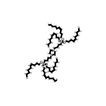 CCCCC/C=C\CCCO[Si](CCCCN1CCN(CCCC[Si](OCCC/C=C\CCCCC)(OCCC/C=C\CCCCC)OCCC/C=C\CCCCC)CC1)(OCCC/C=C\CCCCC)OCCC/C=C\CCCCC